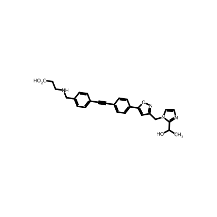 CC(O)c1nccn1Cc1cc(-c2ccc(C#Cc3ccc(CNCCC(=O)O)cc3)cc2)on1